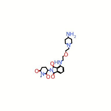 CN1C(=O)CCC(N2C(=O)c3cccc(NCCOCCN4CCC(N)CC4)c3C2=O)C1=O